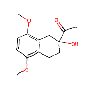 COc1ccc(OC)c2c1CCC(O)(C(C)=O)C2